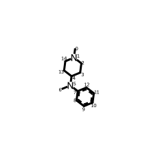 CN1CCC(N(C)c2ccccc2)CC1